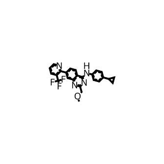 COCc1nc(Nc2ccc(C3CC3)cc2)c2ccc(-c3ncccc3C(F)(F)F)cc2n1